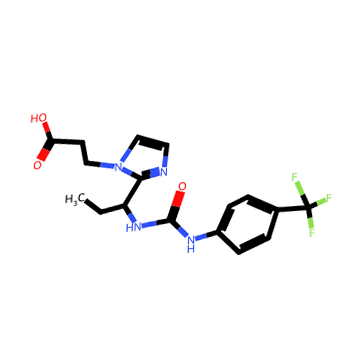 CCC(NC(=O)Nc1ccc(C(F)(F)F)cc1)c1nccn1CCC(=O)O